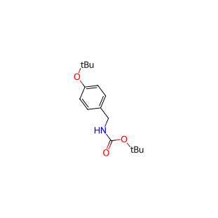 CC(C)(C)OC(=O)NCc1ccc(OC(C)(C)C)cc1